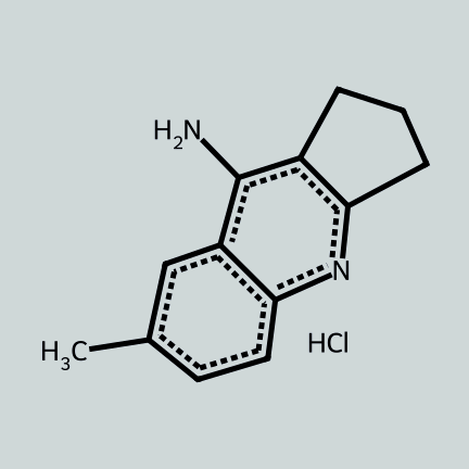 Cc1ccc2nc3c(c(N)c2c1)CCC3.Cl